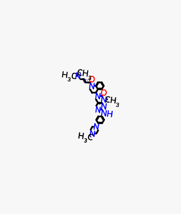 CN(C)C/C=C/C(=O)N1CCC(N2Cc3cnc(Nc4ccc(N5CCN(C)CC5)cc4)nc3N(C)C2=O)c2ccccc21